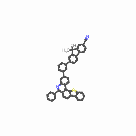 CC1(C)c2cc(C#N)ccc2-c2ccc(-c3cccc(-c4ccc5c(c4)nc(-c4ccccc4)c4ccc6c7ccccc7sc6c45)c3)cc21